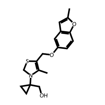 CC1=C(COc2ccc3oc(C)cc3c2)SCN1C1(CO)CC1